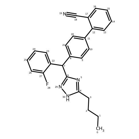 CCCCc1nc(C(c2ccc(-c3ccccc3C#N)cc2)c2ccccc2F)n[nH]1